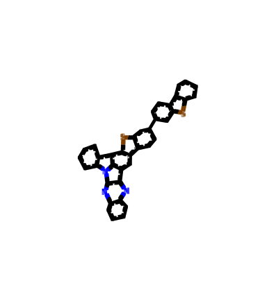 c1ccc2nc3c(nc2c1)c1cc2c4ccc(-c5ccc6c(c5)sc5ccccc56)cc4sc2c2c4ccccc4n3c12